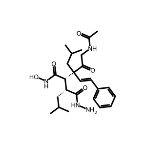 CC(=O)NCC(=O)C(/C=C/c1ccccc1)(CC(C)C)[C@@H](C(=O)NO)[C@@H](CC(C)C)C(=O)NN